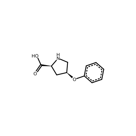 O=C(O)[C@@H]1C[C@H](Oc2ccccc2)CN1